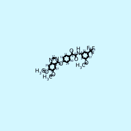 COc1cc(NC(=O)C(=O)c2ccc(Oc3ncnc4cc(OC)c(OC)cc34)cc2)cc(C(F)(F)F)c1